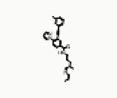 C/C=C\N=C/C(C)CCCNC(=O)c1ccc(-n2cccn2)c(C#Cc2cccc(C)c2)c1